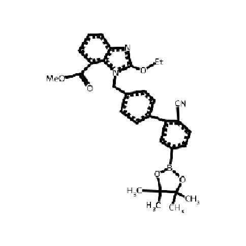 CCOc1nc2cccc(C(=O)OC)c2n1Cc1ccc(-c2cc(B3OC(C)(C)C(C)(C)O3)ccc2C#N)cc1